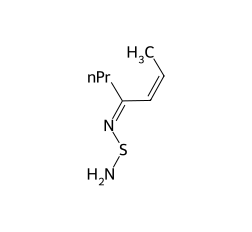 C/C=C\C(CCC)=N/SN